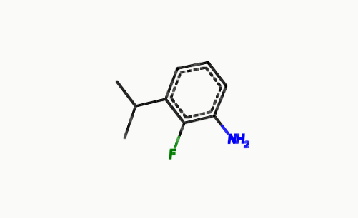 CC(C)c1cccc(N)c1F